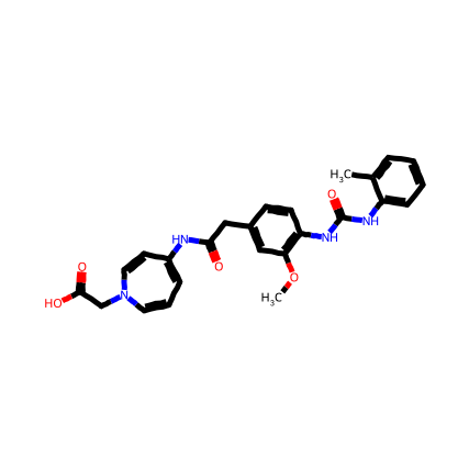 COc1cc(CC(=O)NC2=CC=CN(CC(=O)O)C=C2)ccc1NC(=O)Nc1ccccc1C